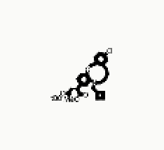 COC(=O)[C@@H](CC(=O)OC(C)(C)C)c1ccc2c(c1)N(CC1CCC1)CCCCc1cc(Cl)ccc1CO2